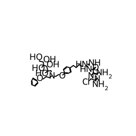 N=C(NCCCCc1ccc(OCCN(CCCOc2ccccc2)CC(O)C(O)C(O)C(O)CO)cc1)NC(=O)c1nc(Cl)c(N)nc1N